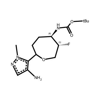 Cn1ncc(N)c1C1CC[C@@H](NC(=O)OC(C)(C)C)[C@H](F)CO1